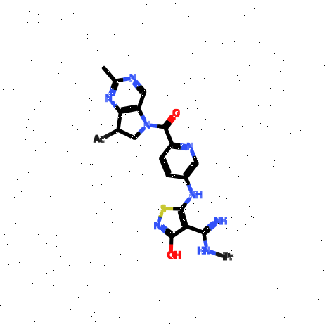 CC(=O)C1CN(C(=O)c2ccc(Nc3snc(O)c3C(=N)NC(C)C)cn2)c2cnc(C)nc21